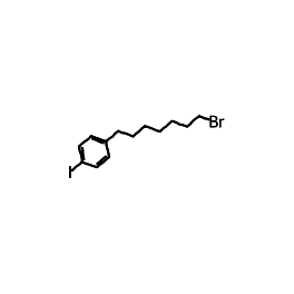 BrCCCCCCCc1ccc(I)cc1